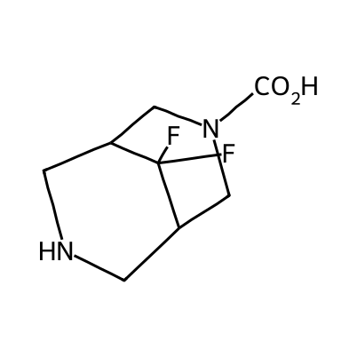 O=C(O)N1CC2CNCC(C1)C2(F)F